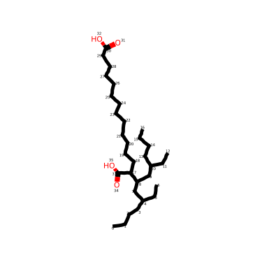 CCCCC(CC)CC(CC(CC)CCCC)C(CCCCCCCCCCCCC(=O)O)C(=O)O